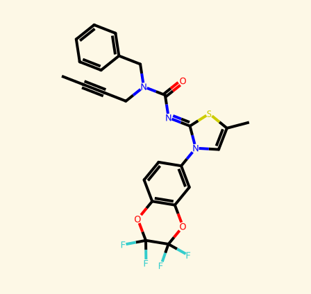 CC#CCN(Cc1ccccc1)C(=O)N=c1sc(C)cn1-c1ccc2c(c1)OC(F)(F)C(F)(F)O2